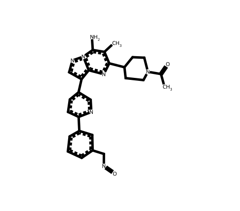 CC(=O)N1CCC(c2nc3c(-c4ccc(-c5cccc(CN=O)c5)nc4)cnn3c(N)c2C)CC1